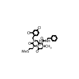 CSCC[C@H]1C(=O)N(Cc2ccc(Cl)cc2Cl)C[C@H]2N1C(=O)CN(C)N2C(=O)NCc1ccccc1